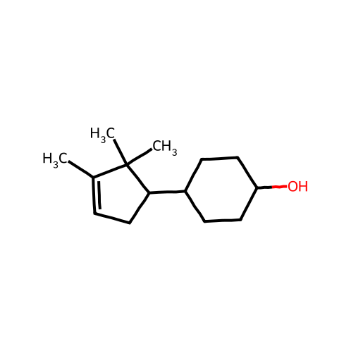 CC1=CCC(C2CCC(O)CC2)C1(C)C